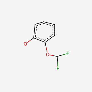 [O]c1ccccc1OC(F)F